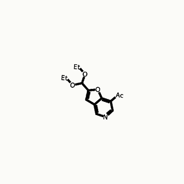 CCOC(OCC)c1cc2cncc(C(C)=O)c2o1